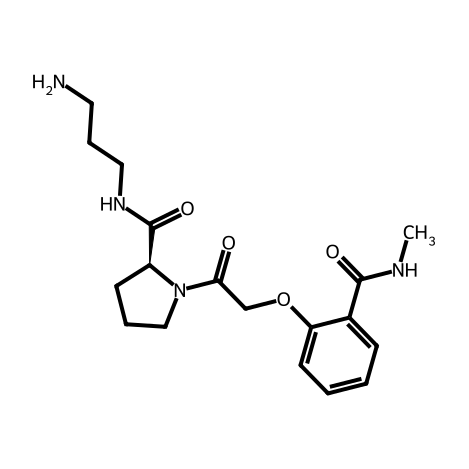 CNC(=O)c1ccccc1OCC(=O)N1CCC[C@H]1C(=O)NCCCN